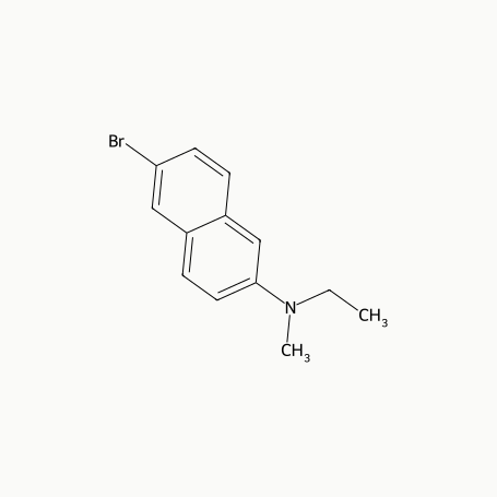 CCN(C)c1ccc2cc(Br)ccc2c1